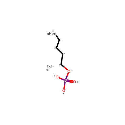 CCCCCCCCCCOP(=O)([O-])[O-].[Zn+2]